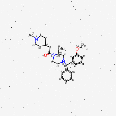 CC(=O)N1CCC(CC(=O)N2CCN(C(c3ccccc3)c3cccc(OC(F)(F)F)c3)C[C@@H]2C(C)(C)C)CC1